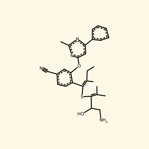 CC/C(C)=C(/SC(=C(C)C)C(O)CN)c1ccc(C#N)cc1Oc1cc(-c2ccccc2)nc(C)n1